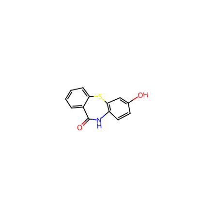 O=C1Nc2ccc(O)cc2Sc2ccccc21